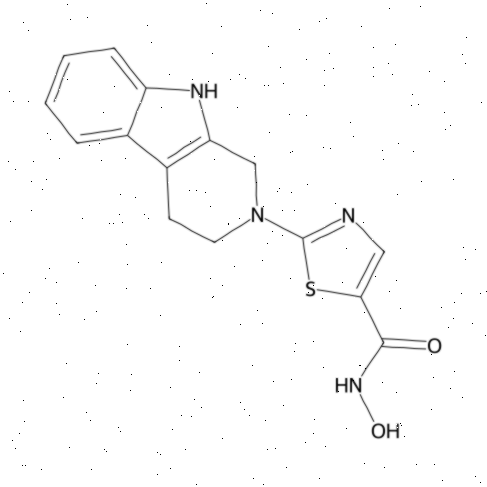 O=C(NO)c1cnc(N2CCc3c([nH]c4ccccc34)C2)s1